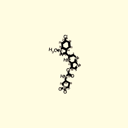 Cn1nc(-c2cnc3ncc(OC(=O)NC4CCS(=O)(=O)C4)c-3[nH]2)c2ccc(Cl)cc21